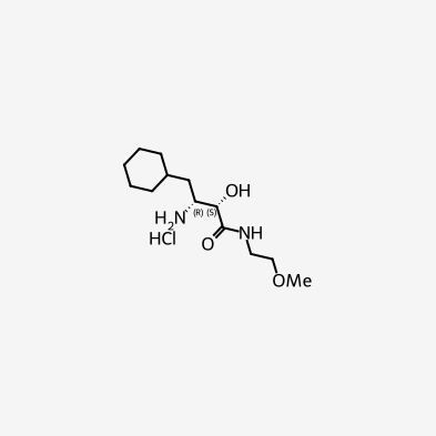 COCCNC(=O)[C@@H](O)[C@H](N)CC1CCCCC1.Cl